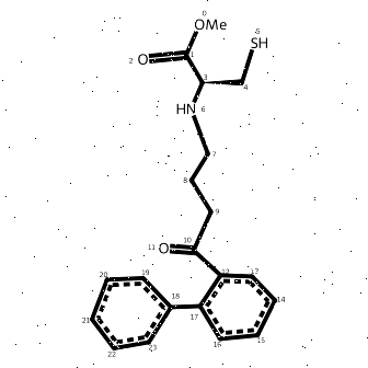 COC(=O)[C@@H](CS)NCCCC(=O)c1ccccc1-c1ccccc1